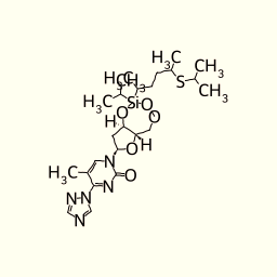 Cc1cn([C@H]2C[C@H]3O[Si](C(C)C)(C(C)CCC(C)SC(C)C)OOC[C@@H]3O2)c(=O)nc1-n1cncn1